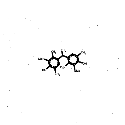 CNc1c(C)c(C(C)c2cc(C)c(O)c(NC)c2C)cc(C)c1O